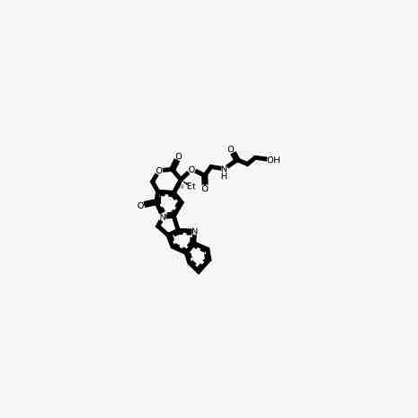 CC[C@@]1(OC(=O)CNC(=O)CCO)C(=O)OCc2c1cc1n(c2=O)Cc2cc3ccccc3nc2-1